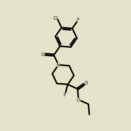 CCOC(=O)C1(F)CCN(C(=O)c2ccc(F)c(Cl)c2)CC1